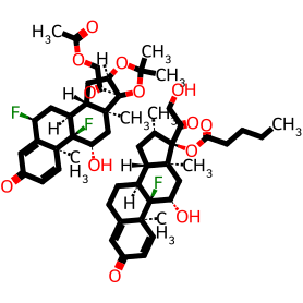 CC(=O)OCC(=O)[C@@]12OC(C)(C)O[C@@H]1C[C@H]1[C@@H]3C[C@H](F)C4=CC(=O)C=C[C@]4(C)[C@@]3(F)[C@@H](O)C[C@@]12C.CCCCC(=O)O[C@]1(C(=O)CO)[C@@H](C)C[C@H]2[C@@H]3CCC4=CC(=O)C=C[C@]4(C)[C@@]3(F)[C@@H](O)C[C@@]21C